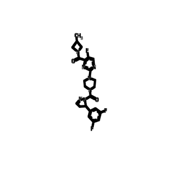 CC1CN(C(=O)c2nc(N3CCN(C(=O)N4N=CCC4c4cc(F)cc(F)c4)CC3)ncc2F)C1